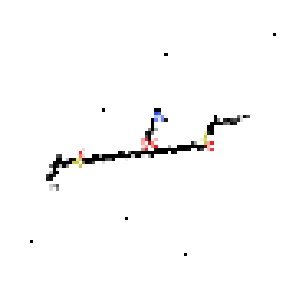 CC(C)CCCC(C)CCSC(=O)CCCCCCCCCC(CCCCCCCCCC(=O)SCCC(C)CCCC(C)C)OC(=O)CCCN(C)C